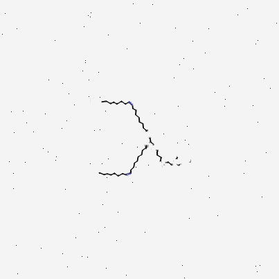 CCCCCCCC/C=C\CCCCCCCC(=O)OCC(COC(=O)CCCN(C)CCN(CC)CC)OC(=O)CCCCCCC/C=C\CCCCCCCC